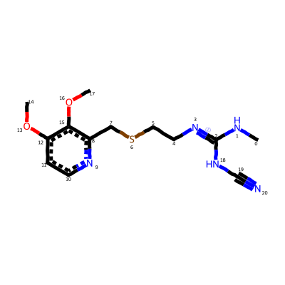 CN/C(=N/CCSCc1nccc(OC)c1OC)NC#N